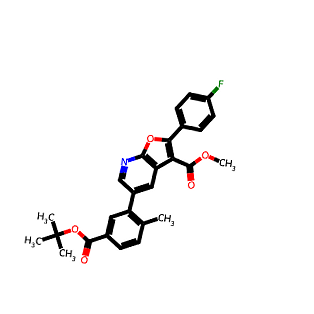 COC(=O)c1c(-c2ccc(F)cc2)oc2ncc(-c3cc(C(=O)OC(C)(C)C)ccc3C)cc12